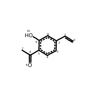 C=Cc1ccc(C(C)=O)c(O)c1